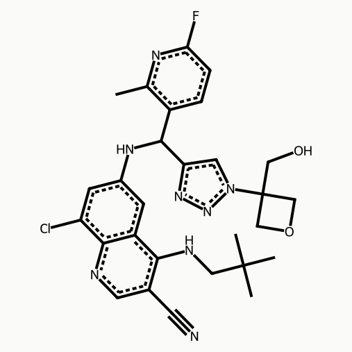 Cc1nc(F)ccc1C(Nc1cc(Cl)c2ncc(C#N)c(NCC(C)(C)C)c2c1)c1cn(C2(CO)COC2)nn1